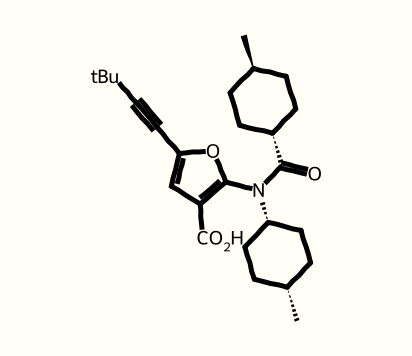 CC(C)(C)C#Cc1cc(C(=O)O)c(N(C(=O)[C@H]2CC[C@H](C)CC2)[C@H]2CC[C@@H](C)CC2)o1